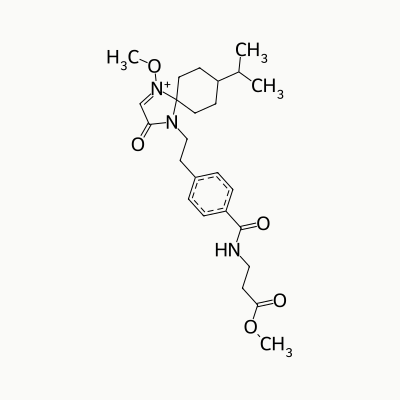 COC(=O)CCNC(=O)c1ccc(CCN2C(=O)C=[N+](OC)C23CCC(C(C)C)CC3)cc1